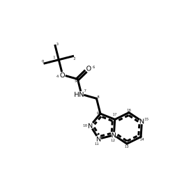 CC(C)(C)OC(=O)NCc1nnn2ccncc12